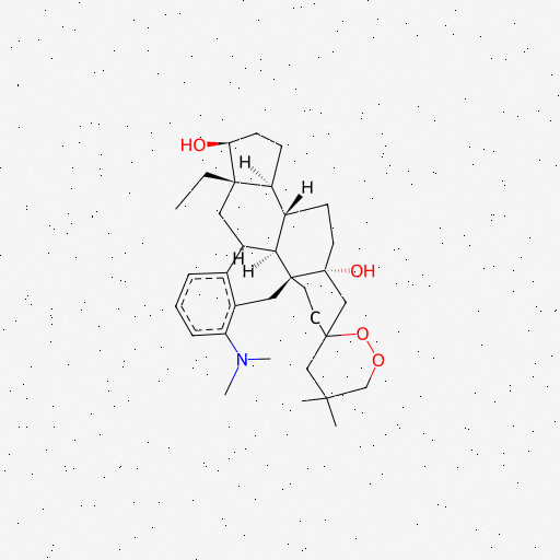 CC[C@]12C[C@@H]3c4cccc(N(C)C)c4C[C@]45CCC6(CC(C)(C)COO6)C[C@]4(O)CC[C@H]([C@H]35)[C@@H]1CC[C@@H]2O